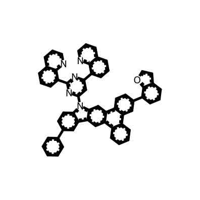 c1ccc(-c2ccc3c(c2)c2cc4c5ccccc5c5cc(-c6cccc7ccoc67)ccc5c4cc2n3-c2cc(-c3cccc4cccnc34)nc(-c3cccc4cccnc34)n2)cc1